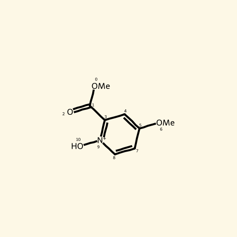 COC(=O)c1cc(OC)cc[n+]1O